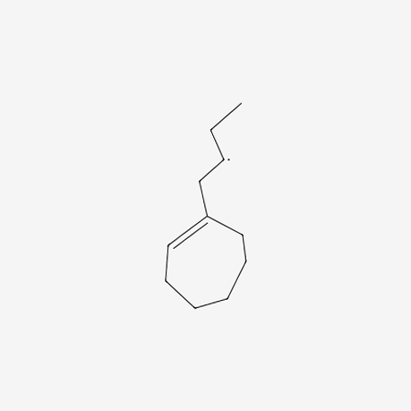 CC[CH]CC1=CCCCCC1